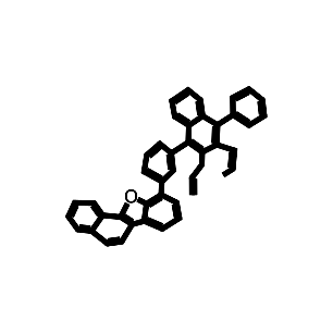 C=CCc1c(/C=C\C)c(-c2ccccc2)c2ccccc2c1-c1cccc(-c2cccc3c2oc2c4ccccc4ccc32)c1